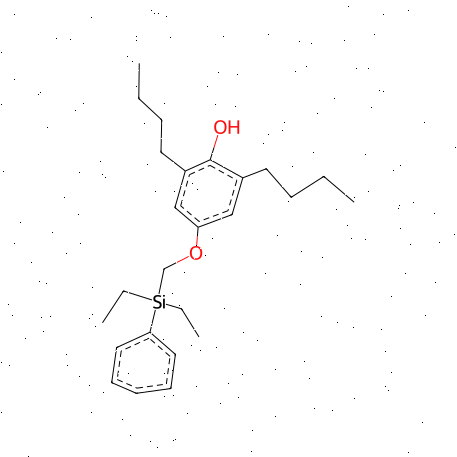 CCCCc1cc(OC[Si](CC)(CC)c2ccccc2)cc(CCCC)c1O